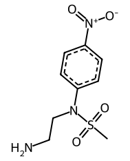 CS(=O)(=O)N(CCN)c1ccc([N+](=O)[O-])cc1